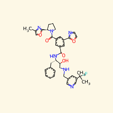 Cc1coc([C@H]2CCCN2C(=O)c2cc(C(=O)N[C@@H](Cc3ccccc3)[C@@H](O)CNCc3cncc(C(C)(C)F)c3)cc(-c3ncco3)c2)n1